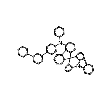 c1ccc(-c2cccc(-c3ccc(N(c4ccccc4)c4cccc5c4-c4ccccc4C54c5ccccc5-n5c6ccccc6c6cccc4c65)cc3)c2)cc1